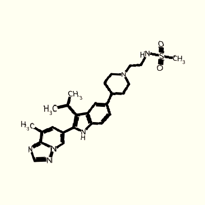 Cc1cc(-c2[nH]c3ccc(C4CCN(CCNS(C)(=O)=O)CC4)cc3c2C(C)C)cn2ncnc12